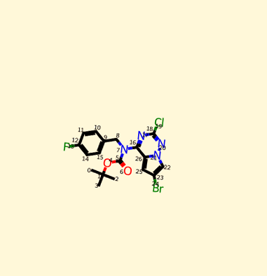 CC(C)(C)OC(=O)N(Cc1ccc(F)cc1)c1nc(Cl)nn2cc(Br)cc12